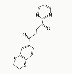 O=C(CCC(=O)c1ncccn1)c1ccc2c(c1)SCCS2